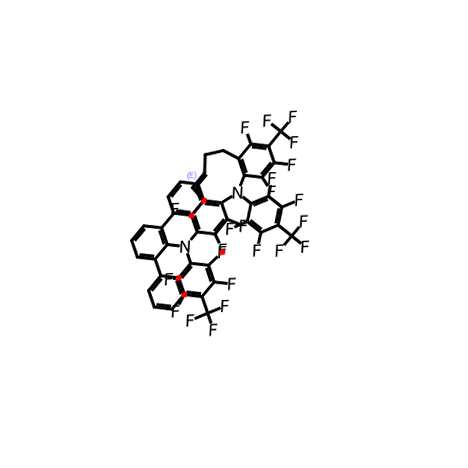 Fc1c(F)c(C(F)(F)F)c(F)c(F)c1N(c1c(-c2ccccc2)cccc1-c1ccccc1)c1c(F)c(F)c2c(c1F)/C=C/CCc1c(F)c(C(F)(F)F)c(F)c(F)c1N2c1c(F)c(F)c(C(F)(F)F)c(F)c1F